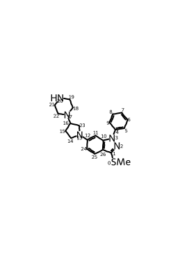 CSc1nn(-c2ccccc2)c2cc(N3CCC(N4CCNCC4)C3)ccc12